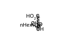 CCCCCCC(O)CC=C[C@H]1[C@H](O)CC(=O)[C@@H]1CCCCCCC(=O)O